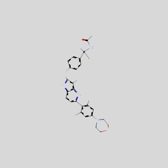 CC(=O)NC(C)(C)c1ccc(Oc2[nH]c3ccc(-c4c(F)cc(N5CCOCC5)cc4F)nc3c2Cl)cc1